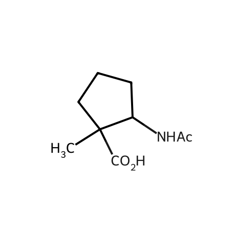 CC(=O)NC1CCCC1(C)C(=O)O